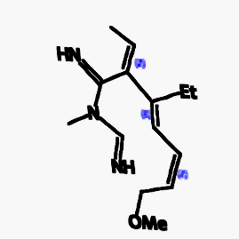 C/C=C(C(=N)N(C)C=N)/C(=C/C=C\COC)CC